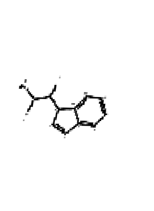 CCCC(F)C(F)C1C=Cc2ccccc21